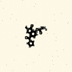 CN1Cc2c(C(=O)N3CCCC3)ccc(OC(N)=O)c2C1=O